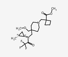 COCC1(CN(C(=O)C(F)(F)F)[C@@H]2C[C@H]2C)CCN(CC2(C(=O)OC)CCC2)CC1